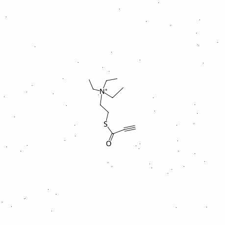 C#CC(=O)SCC[N+](CC)(CC)CC